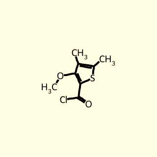 COc1c(C(=O)Cl)sc(C)c1C